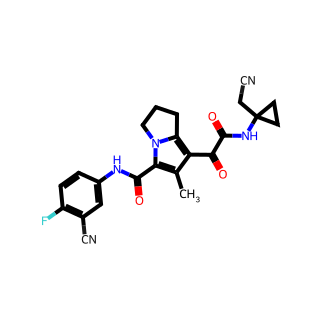 Cc1c(C(=O)C(=O)NC2(CC#N)CC2)c2n(c1C(=O)Nc1ccc(F)c(C#N)c1)CCC2